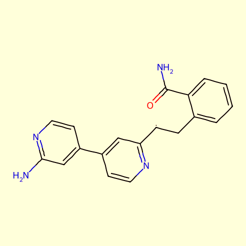 NC(=O)c1ccccc1C[CH]c1cc(-c2ccnc(N)c2)ccn1